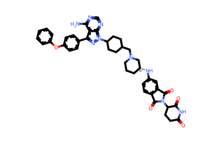 Nc1ncnc2c1c(-c1ccc(Oc3ccccc3)cc1)nn2C1CCC(CN2CCC[C@@H](Nc3ccc4c(c3)C(=O)N(C3CCC(=O)NC3=O)C4=O)C2)CC1